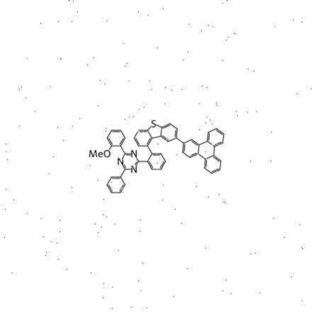 COc1ccccc1-c1nc(-c2ccccc2)nc(-c2ccccc2-c2cccc3sc4ccc(-c5ccc6c7ccccc7c7ccccc7c6c5)cc4c23)n1